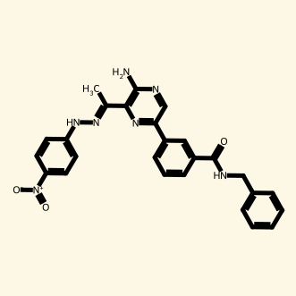 C/C(=N\Nc1ccc([N+](=O)[O-])cc1)c1nc(-c2cccc(C(=O)NCc3ccccc3)c2)cnc1N